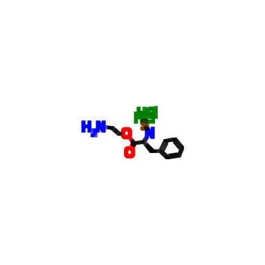 Cl.Cl.NCCOC(=O)[C@H](Cc1ccccc1)N=S